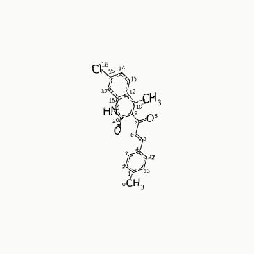 Cc1ccc(C=CC(=O)c2c(C)c3ccc(Cl)cc3[nH]c2=O)cc1